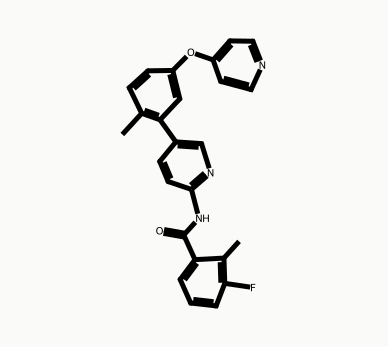 Cc1ccc(Oc2ccncc2)cc1-c1ccc(NC(=O)c2cccc(F)c2C)nc1